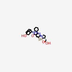 O=C(O)C[C@H]1CCN(c2nc(C3CCCCC3)c(C(=O)NC3C4CC5CC3CC(O)(C5)C4)cc2S)C1